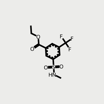 CCOC(=O)c1cc(C(F)(F)F)cc(S(=O)(=O)NC)c1